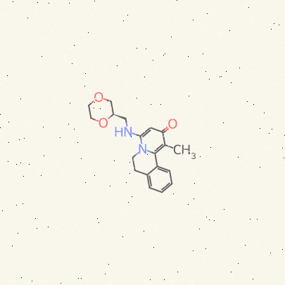 Cc1c2n(c(NC[C@@H]3COCCO3)cc1=O)CCc1ccccc1-2